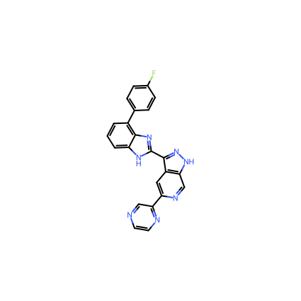 Fc1ccc(-c2cccc3[nH]c(-c4n[nH]c5cnc(-c6cnccn6)cc45)nc23)cc1